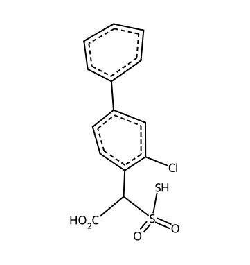 O=C(O)C(c1ccc(-c2ccccc2)cc1Cl)S(=O)(=O)S